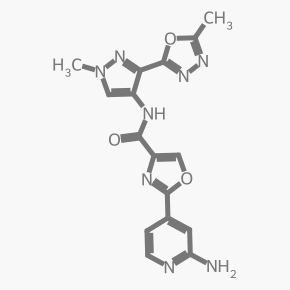 Cc1nnc(-c2nn(C)cc2NC(=O)c2coc(-c3ccnc(N)c3)n2)o1